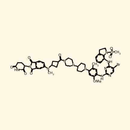 COc1cc(N2CCC(N3CCN(C(=O)C4CC(N(C)c5ccc6c(c5)C(=O)N(C5CCC(=O)NC5=O)C6=O)C4)CC3)CC2)c(C)cc1Nc1ncc(Br)c(Nc2cccc3c2N(S(C)(=O)=O)CC3)n1